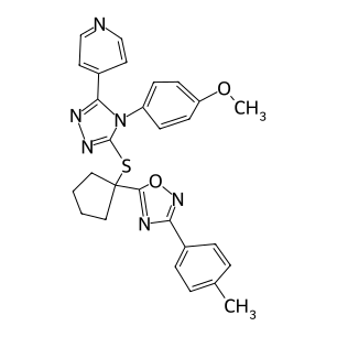 COc1ccc(-n2c(SC3(c4nc(-c5ccc(C)cc5)no4)CCCC3)nnc2-c2ccncc2)cc1